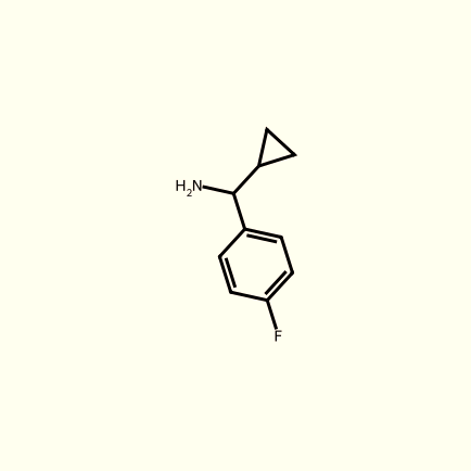 NC(c1ccc(F)cc1)C1CC1